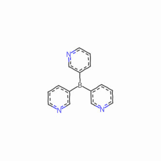 c1cncc(B(c2cccnc2)c2cccnc2)c1